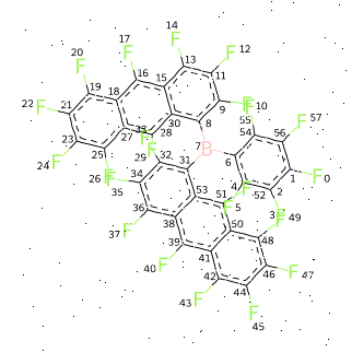 Fc1c(F)c(F)c(B(c2c(F)c(F)c(F)c3c(F)c4c(F)c(F)c(F)c(F)c4c(F)c23)c2c(F)c(F)c(F)c3c(F)c4c(F)c(F)c(F)c(F)c4c(F)c23)c(F)c1F